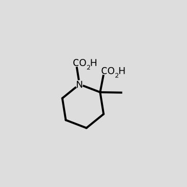 CC1(C(=O)O)CCCCN1C(=O)O